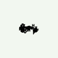 COc1ccc2ncc(CF)c([C@H](F)CCC3(C(=O)O)CCN(CCNc4cc(F)cc(F)c4F)CC3)c2c1